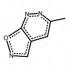 Cc1cc2cnoc2nn1